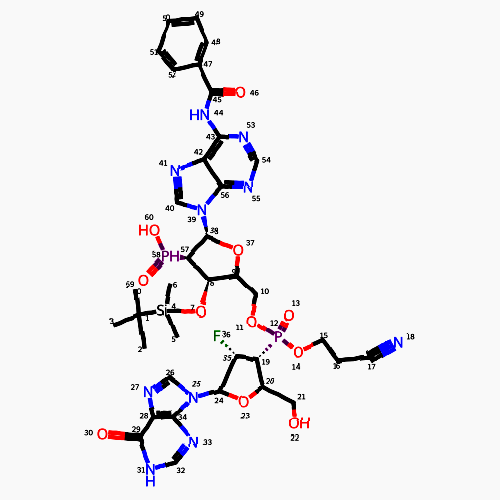 CC(C)(C)[Si](C)(C)O[C@@H]1C(COP(=O)(OCCC#N)[C@@H]2C(CO)OC(n3cnc4c(=O)[nH]cnc43)[C@@H]2F)O[C@H](n2cnc3c(NC(=O)c4ccccc4)ncnc32)[C@@H]1[PH](=O)O